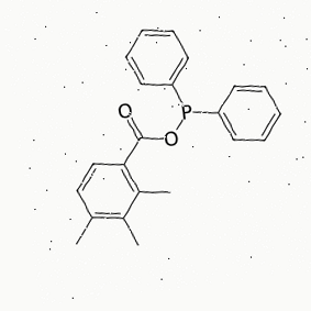 Cc1ccc(C(=O)OP(c2ccccc2)c2ccccc2)c(C)c1C